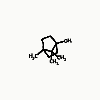 CC12CCC(O)(CC1)C2(C)C